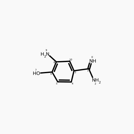 N=C(N)c1ccc(O)c(N)c1